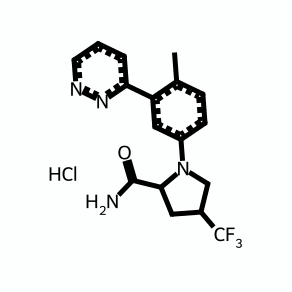 Cc1ccc(N2CC(C(F)(F)F)CC2C(N)=O)cc1-c1cccnn1.Cl